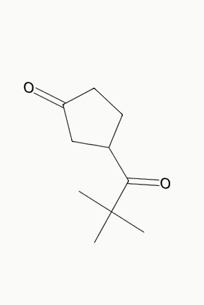 CC(C)(C)C(=O)C1CCC(=O)C1